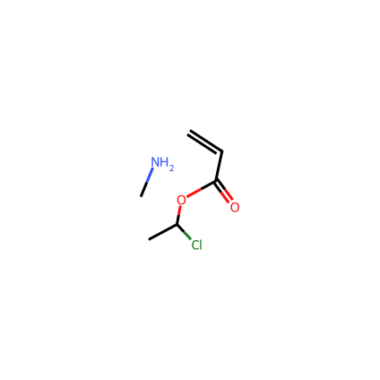 C=CC(=O)OC(C)Cl.CN